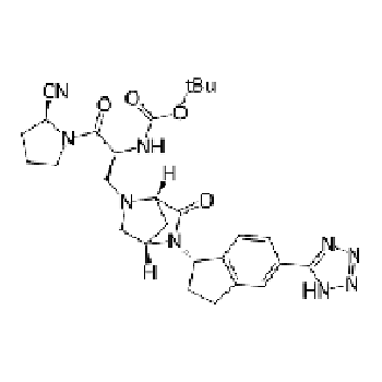 CC(C)(C)OC(=O)N[C@@H](CN1C[C@@H]2C[C@H]1C(=O)N2[C@H]1CCc2cc(-c3nnn[nH]3)ccc21)C(=O)N1CCC[C@H]1C#N